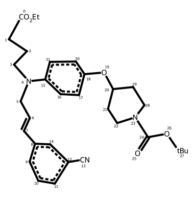 CCOC(=O)CCCN(CC=Cc1cccc(C#N)c1)c1ccc(OC2CCN(C(=O)OC(C)(C)C)CC2)cc1